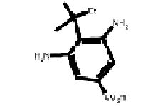 CCC(C)(C)c1c(N)cc(C(=O)O)cc1N